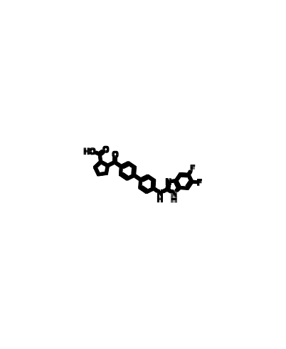 O=C(O)C1CCCC1C(=O)c1ccc(-c2ccc(Nc3nc4cc(F)c(F)cc4[nH]3)cc2)cc1